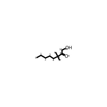 CCCCCC(C)(C)C(=O)CO